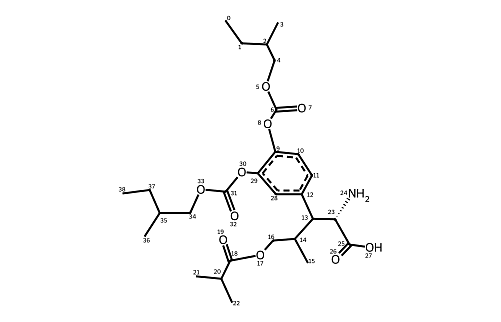 CCC(C)COC(=O)Oc1ccc(C(C(C)COC(=O)C(C)C)[C@H](N)C(=O)O)cc1OC(=O)OCC(C)CC